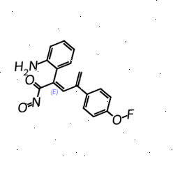 C=C(/C=C(/C(=O)N=O)c1ccccc1N)c1ccc(OF)cc1